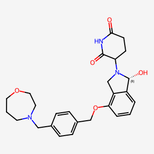 O=C1CCC(N2Cc3c(OCc4ccc(CN5CCCOCC5)cc4)cccc3[C@H]2O)C(=O)N1